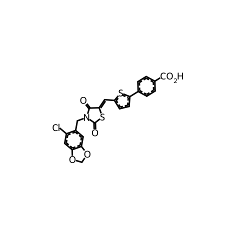 O=C(O)c1ccc(-c2ccc(/C=C3\SC(=O)N(Cc4cc5c(cc4Cl)OCO5)C3=O)s2)cc1